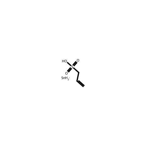 C=CCS(=O)(=O)O.[SnH2]